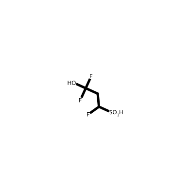 O=S(=O)(O)C(F)CC(O)(F)F